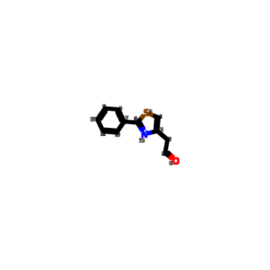 O=[C]Cc1csc(-c2ccccc2)n1